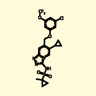 CC1(S(=O)(=O)Nc2nnc3cc(COc4cc(Cl)cc(OC(F)(F)F)c4)c(C4CC4)cn23)CC1